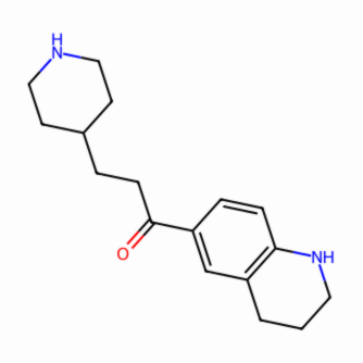 O=C(CCC1CCNCC1)c1ccc2c(c1)CCCN2